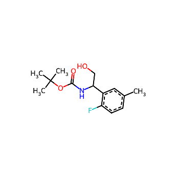 Cc1ccc(F)c(C(CO)NC(=O)OC(C)(C)C)c1